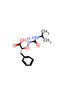 CC(C)NC(=O)NO[C@H](Cc1ccccc1)C(=O)O